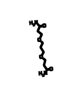 NC(=O)CCOCCCOCCC(N)=O